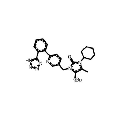 CCCCc1c(C)n(C2CCCCC2)c(=O)n1Cc1ccc(-c2ccccc2-c2nnn[nH]2)nc1